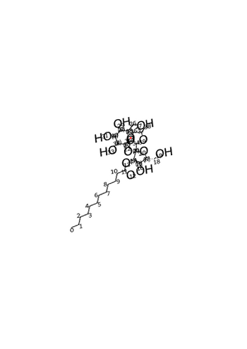 CCCCCCCCCCCC(=O)O[C@H]1[C@H](O)[C@@H](CO)O[C@]1(O[C@H]1O[C@H](CO)[C@@H](O)[C@H](O)[C@H]1O)C1OCC(C)O1